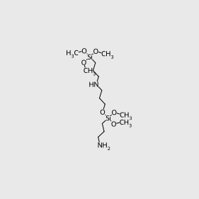 CO[Si](CCCNCCCO[Si](CCCN)(OC)OC)(OC)OC